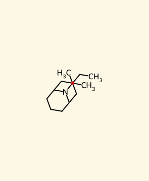 CCC1CC2CCCC(C1)N2C(C)C